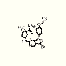 CNC(=O)[C@]1(C)CC[C@@H](Nc2ncc3c(Br)nn(-c4ccc(OCC#N)cc4)c3n2)C1